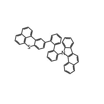 c1ccc(-c2ccccc2-n2c3ccccc3c3ccc4ccccc4c32)c(-c2ccc3c(c2)-c2cccc4cccc(c24)S3)c1